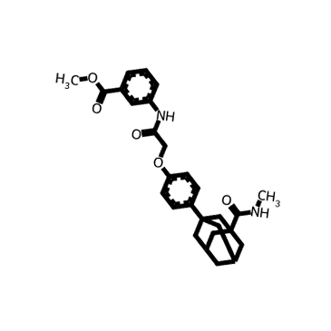 CNC(=O)C12CC3CC(C1)CC(c1ccc(OCC(=O)Nc4cccc(C(=O)OC)c4)cc1)(C3)C2